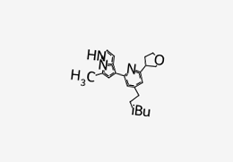 CCC(C)CCc1cc(-c2cc(C)n3[nH]ccc23)nc(C2CCOC2)c1